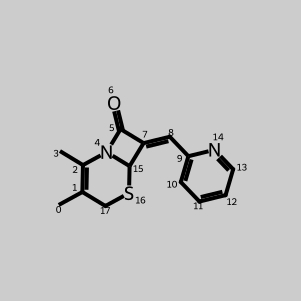 CC1=C(C)N2C(=O)/C(=C/c3ccccn3)C2SC1